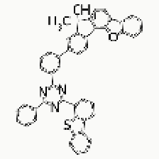 CC1(C)c2cc(-c3cccc(-c4nc(-c5ccccc5)nc(-c5cccc6c5sc5ccccc56)n4)c3)ccc2-c2c1ccc1c2oc2ccccc21